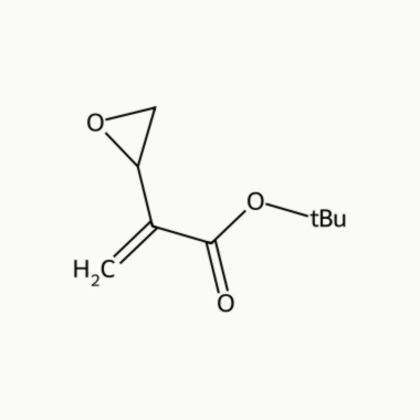 C=C(C(=O)OC(C)(C)C)C1CO1